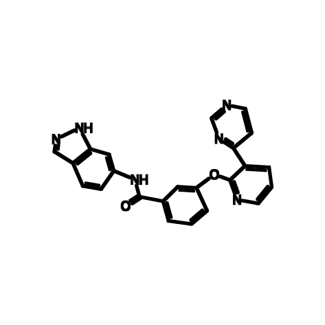 O=C(Nc1ccc2cn[nH]c2c1)c1cccc(Oc2ncccc2-c2ccncn2)c1